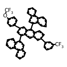 FC(F)(F)Oc1ccc(-c2cc(-c3cc4ccccc4c4ccccc34)c3cc4cc(-c5cccc(C(F)(F)F)c5)ccc4c(-c4cc5ccccc5c5ccccc45)c3c2)cc1